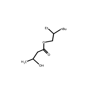 CCCCC(CC)COC(=O)CC(C)O